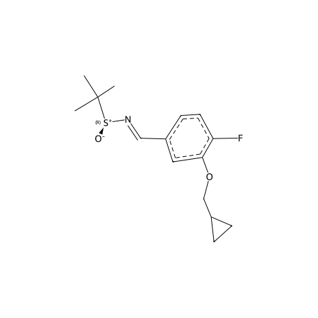 CC(C)(C)[S@+]([O-])N=Cc1ccc(F)c(OCC2CC2)c1